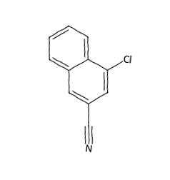 N#Cc1cc(Cl)c2ccccc2c1